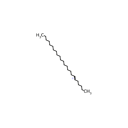 CCCCC/C=C/CCCCCCCCCCCCCCCCC